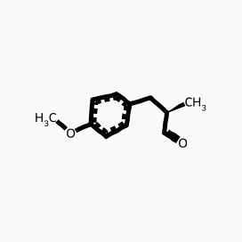 COc1ccc(C[C@@H](C)C=O)cc1